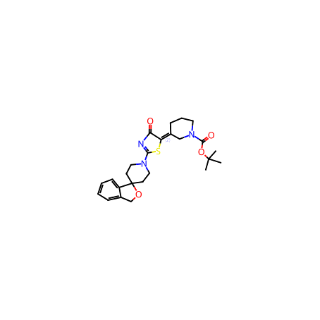 CC(C)(C)OC(=O)N1CCC/C(=C2/SC(N3CCC4(CC3)OCc3ccccc34)=NC2=O)C1